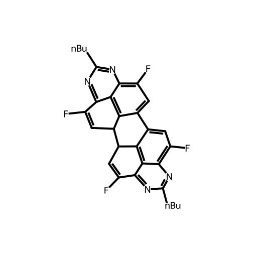 CCCCc1nc2c3c4c(cc(F)c3n1)-c1cc(F)c3nc(CCCC)nc5c3c1C(C=C5F)C4C=C2F